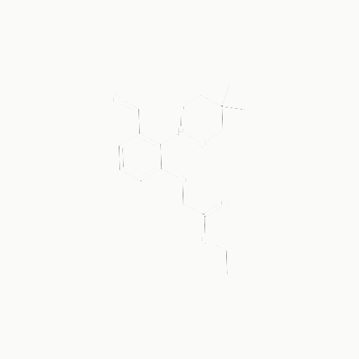 CCOC(=O)COc1cccc(C=O)c1B1OCC(C)(C)CO1